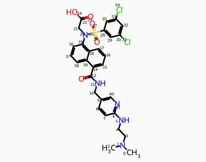 CN(C)CCNc1ccc(CNC(=O)c2cccc3c(N(CC(=O)O)S(=O)(=O)c4cc(Cl)cc(Cl)c4)cccc23)cn1